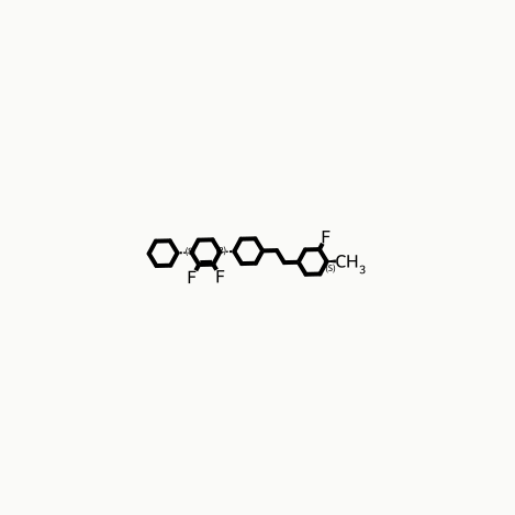 C[C@H]1CCC(CCC2CCC([C@H]3CC[C@@H](C4CCCCC4)C(F)=C3F)CC2)CC1F